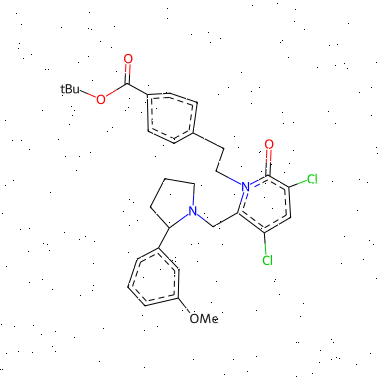 COc1cccc(C2CCCN2Cc2c(Cl)cc(Cl)c(=O)n2CCc2ccc(C(=O)OC(C)(C)C)cc2)c1